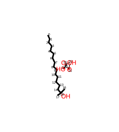 CCCCCCCCCCCCCCCC(C)(C)O.[O]=[Cr](=[O])([OH])[OH]